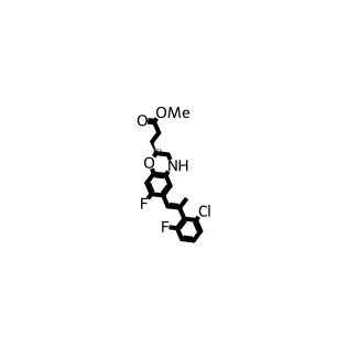 COC(=O)CC[C@H]1CNc2cc(C=C(C)c3c(F)cccc3Cl)c(F)cc2O1